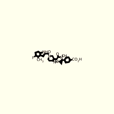 Cc1c(F)ccc2[nH]c(C(=O)N3CCc4n[nH]c(C(=O)N(C)C5(c6ccc(C(=O)O)cc6)CC5)c4C3)cc12